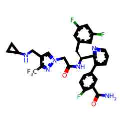 NC(=O)c1cc(-c2cccnc2[C@H](Cc2cc(F)cc(F)c2)NC(=O)Cn2cc(CNC3CC3)c(C(F)(F)F)n2)ccc1F